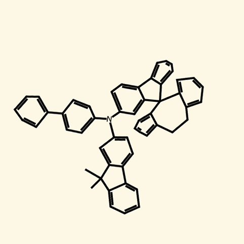 CC1(C)c2ccccc2-c2ccc(N(c3ccc(-c4ccccc4)cc3)c3ccc4c(c3)C3(c5ccccc5CCc5ccccc53)c3ccccc3-4)cc21